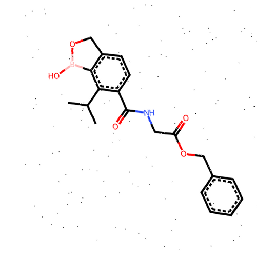 CC(C)c1c(C(=O)NCC(=O)OCc2ccccc2)ccc2c1B(O)OC2